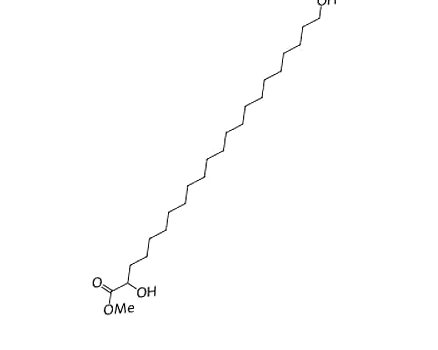 COC(=O)C(O)CCCCCCCCCCCCCCCCCCCCO